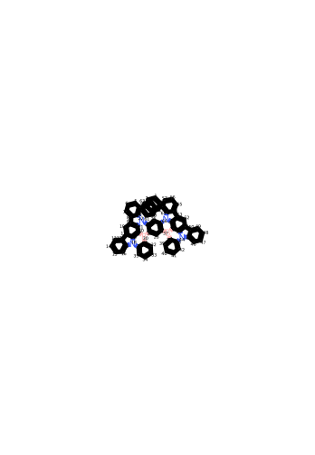 c1ccc(-c2cccc3c4cc5c6ccccc6n6c5c5c4n(c23)-c2cc3c(cc2B5c2ccccc2-6)B2c4ccccc4-n4c5ccccc5c5cc6c7cccc(-c8ccccc8)c7n-3c6c2c54)cc1